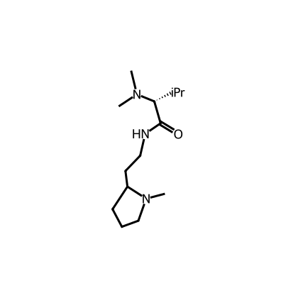 CC(C)[C@H](C(=O)NCCC1CCCN1C)N(C)C